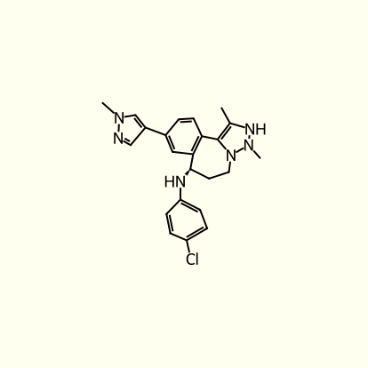 CC1=C2c3ccc(-c4cnn(C)c4)cc3[C@H](Nc3ccc(Cl)cc3)CCN2N(C)N1